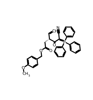 C=C[C@@H](CC(=O)OCc1ccc(OC)cc1)C(=O)C(C#N)=P(c1ccccc1)(c1ccccc1)c1ccccc1